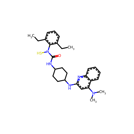 CCc1cccc(CC)c1N(S)C(=O)NC1CCC(Nc2cc(N(C)C)c3ccccc3n2)CC1